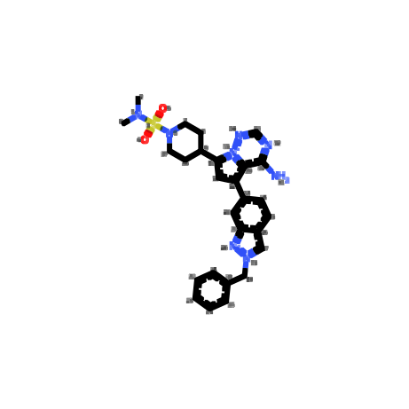 CN(C)S(=O)(=O)N1CCC(c2cc(-c3ccc4cn(Cc5ccccc5)nc4c3)c3c(N)ncnn23)CC1